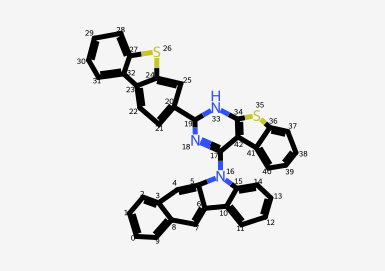 c1ccc2cc3c(cc2c1)c1ccccc1n3C1=NC(c2ccc3c(c2)sc2ccccc23)Nc2sc3ccccc3c21